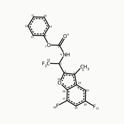 Cc1c(C(NC(=O)Oc2ccccc2)C(F)(F)F)oc2c(F)cc(F)cc12